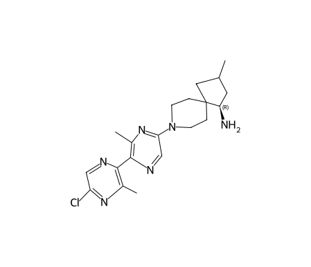 Cc1nc(Cl)cnc1-c1ncc(N2CCC3(CC2)CC(C)C[C@H]3N)nc1C